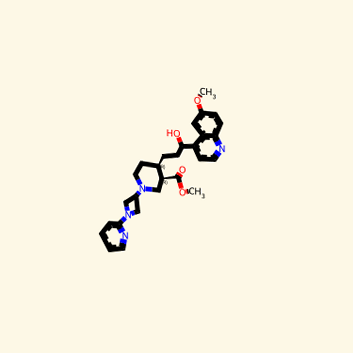 COC(=O)[C@H]1CN(C2CN(c3ccccn3)C2)CC[C@H]1CCC(O)c1ccnc2ccc(OC)cc12